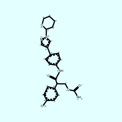 NC(=O)OCC(C(=O)Nc1ccc(-c2cnn(C3CCCCO3)c2)cc1)c1ccc(Cl)cc1